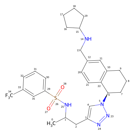 CC(Cc1cn([C@@H]2CCCc3cc(CNC4CCCC4)ccc32)nn1)NS(=O)(=O)c1cccc(C(F)(F)F)c1